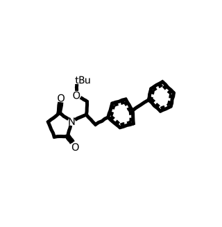 CC(C)(C)OCC(Cc1ccc(-c2ccccc2)cc1)N1C(=O)CCC1=O